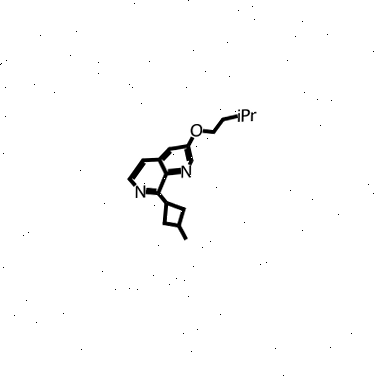 CC(C)CCOc1cnc2c(C3CC(C)C3)nccc2c1